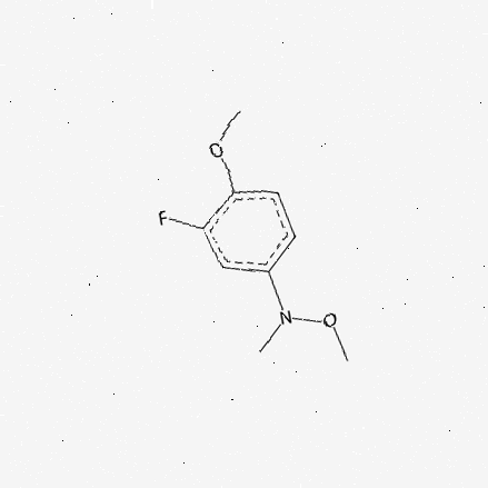 COc1ccc(N(C)OC)cc1F